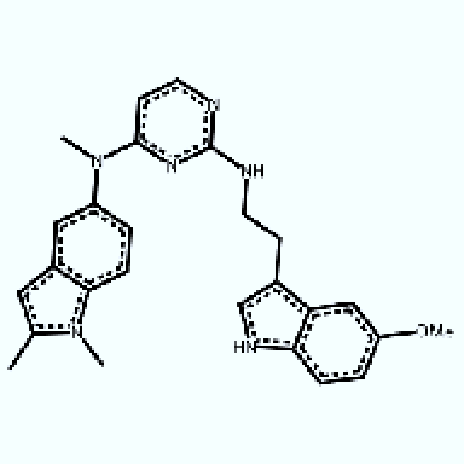 COc1ccc2[nH]cc(CCNc3nccc(N(C)c4ccc5c(c4)cc(C)n5C)n3)c2c1